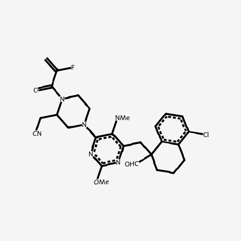 C=C(F)C(=O)N1CCN(c2nc(OC)nc(CC3(C=O)CCCc4c(Cl)cccc43)c2NC)CC1CC#N